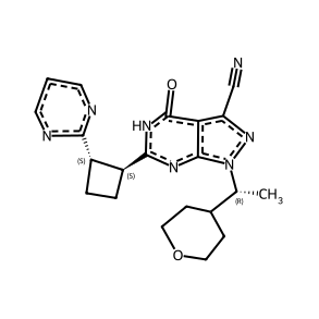 C[C@H](C1CCOCC1)n1nc(C#N)c2c(=O)[nH]c([C@H]3CC[C@@H]3c3ncccn3)nc21